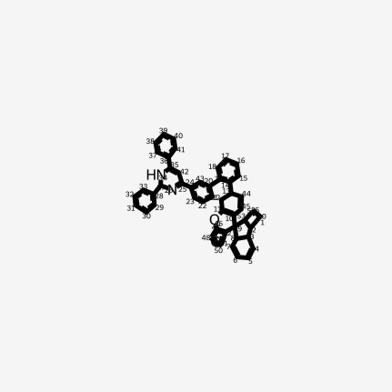 C1=CC2C3C=CC=CC3C3(C4=C(CC(c5ccccc5-c5cccc(C6=NC(c7ccccc7)NC(c7ccccc7)=C6)c5)C=C4)Oc4ccccc43)C2C=C1